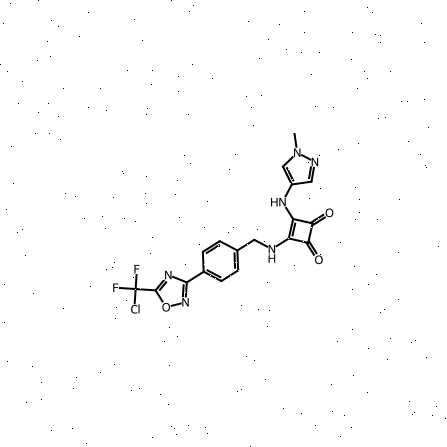 Cn1cc(Nc2c(NCc3ccc(-c4noc(C(F)(F)Cl)n4)cc3)c(=O)c2=O)cn1